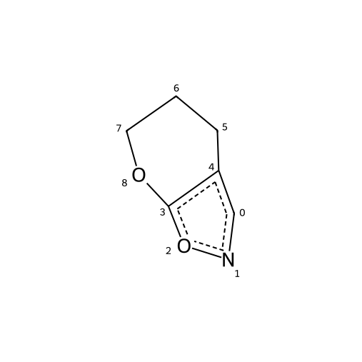 c1noc2c1CCCO2